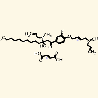 C=CCN(C)C/C=C/COc1ccc(C(=O)CC(O)(CCCCCCCCCC)N(C)CC=C)cc1F.O=C(O)/C=C/C(=O)O